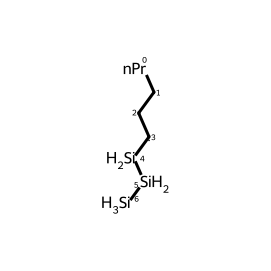 CCCCC[CH][SiH2][SiH2][SiH3]